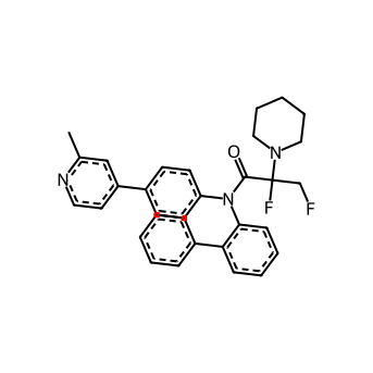 Cc1cc(-c2ccc(N(C(=O)C(F)(CF)N3CCCCC3)c3ccccc3-c3ccccc3)cc2)ccn1